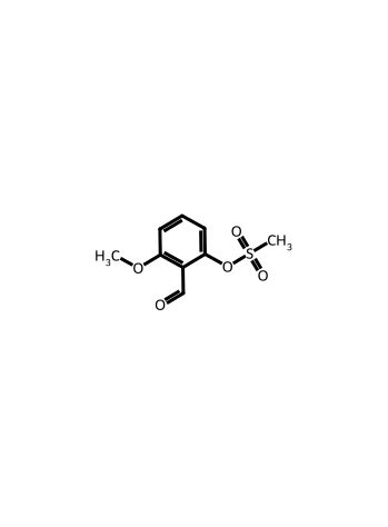 COc1cccc(OS(C)(=O)=O)c1C=O